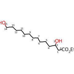 CCOC(=O)CC(O)CCCCCCCCCCCO